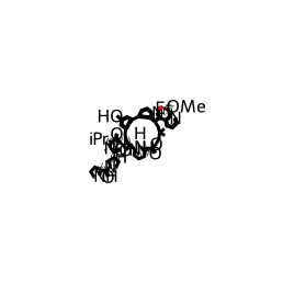 CCn1c(-c2cccnc2[C@H](C)OC)c2c3cc(ccc31)-c1cc(O)cc(c1)C[C@H](NC(=O)[C@H](C(C)C)N(C)C(=O)[C@H]1CCN(C(=O)[C@]3(C)CCCN3)C1)C(=O)N1CCC[C@H](N1)C(=O)OCC(C)(C)C2